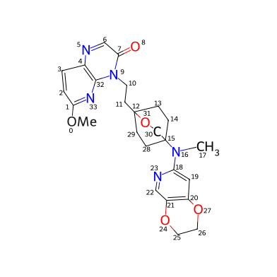 COc1ccc2ncc(=O)n(CCC34CCC(N(C)c5cc6c(cn5)OCCO6)(CC3)CO4)c2n1